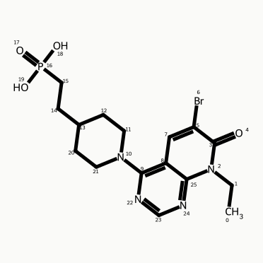 CCn1c(=O)c(Br)cc2c(N3CCC(CCP(=O)(O)O)CC3)ncnc21